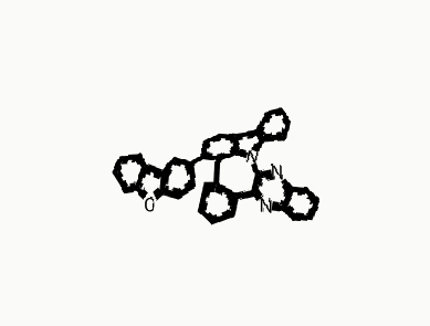 c1ccc2c(c1)-c1nc3ccccc3nc1-n1c3ccccc3c3ccc(-c4ccc5oc6ccccc6c5c4)c-2c31